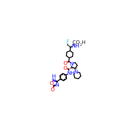 O=C(O)N[C@H](CF)C1CCC(C(=O)N2CC[C@H](N3CCCCC3)[C@@H]2C(=O)Nc2ccc(-c3nc(=O)o[nH]3)cc2)CC1